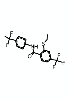 CCSc1cc(C(F)(F)F)ccc1C(=O)Nc1ccc(C(C)(F)F)cc1